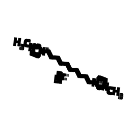 Cn1cc[n+](CCCCCCCCCC[n+]2ccn(C)c2)c1.[Br-].[Br-]